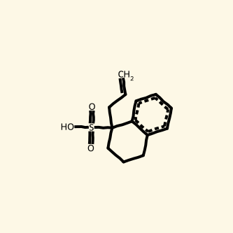 C=CCC1(S(=O)(=O)O)CCCc2ccccc21